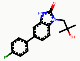 CC(C)(O)Cn1c(=O)[nH]c2cc(-c3ccc(F)cc3)ccc21